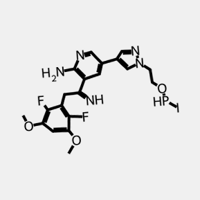 COc1cc(OC)c(F)c(CC(=N)c2cc(-c3cnn(CCOPI)c3)cnc2N)c1F